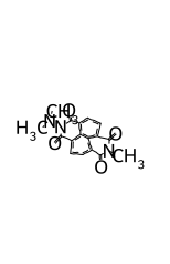 CN1C(=O)c2ccc3c4c(ccc(c24)C1=O)C(=O)N(N(C)C)C3=O